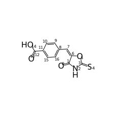 O=C1NC(=S)OC1=Cc1ccc(C(=O)O)cc1